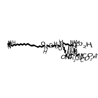 CN[C@@H](CCCCN)C(=O)N[C@@H](CCC(=O)O)C(=O)N[C@@H](CNC(=O)CN(CC(=O)O)CC(=O)O)C(=O)N[C@@H](CCCCNC(=O)COCCOCCNC(=O)CCCCCCCCCCCCCCCc1nnn[nH]1)C(N)=O